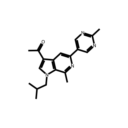 CC(=O)c1cn(CC(C)C)c2c(C)nc(-c3cnc(C)nc3)cc12